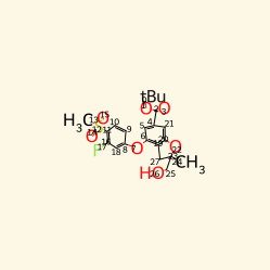 CC(C)(C)OC(=O)c1cc(Oc2ccc(S(C)(=O)=O)c(F)c2)c2c(c1)OC(C)(CO)C2